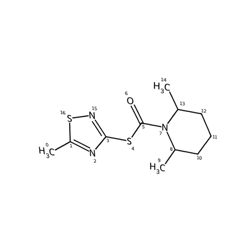 Cc1nc(SC(=O)N2C(C)CCCC2C)ns1